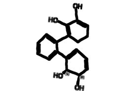 OC1=CCCC(c2ccccc2C2=CC=C[C@@H](O)[C@H]2O)=C1O